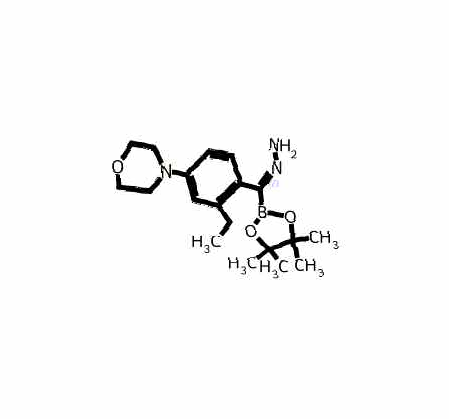 CCc1cc(N2CCOCC2)ccc1/C(=N\N)B1OC(C)(C)C(C)(C)O1